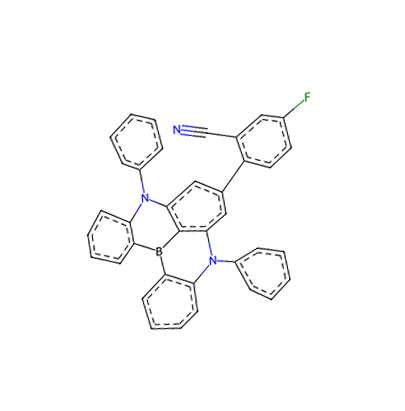 N#Cc1cc(F)ccc1-c1cc2c3c(c1)N(c1ccccc1)c1ccccc1B3c1ccccc1N2c1ccccc1